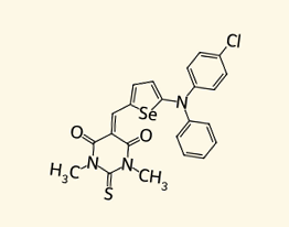 CN1C(=O)C(=Cc2ccc(N(c3ccccc3)c3ccc(Cl)cc3)[se]2)C(=O)N(C)C1=S